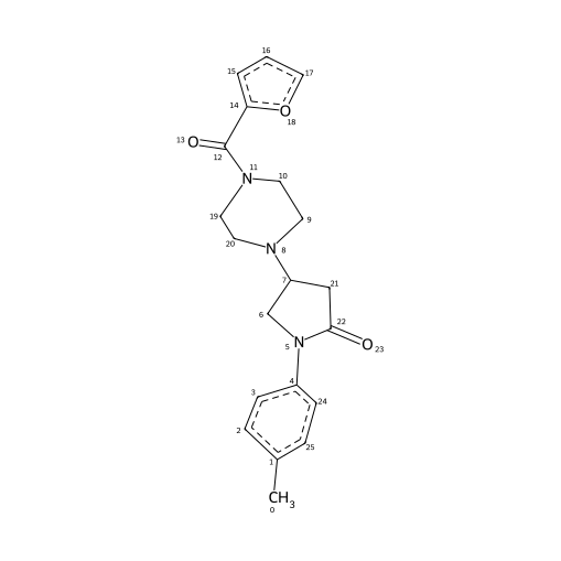 Cc1ccc(N2CC(N3CCN(C(=O)c4ccco4)CC3)CC2=O)cc1